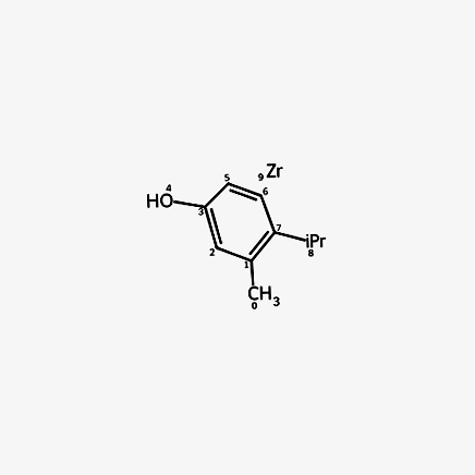 Cc1cc(O)ccc1C(C)C.[Zr]